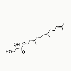 CC(C)=CCC/C(C)=C/CC/C(C)=C/COC(=O)C(O)CO